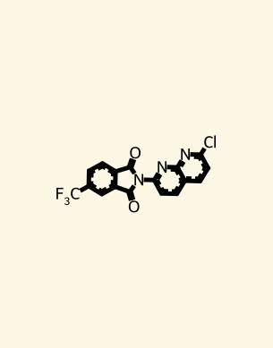 O=C1c2ccc(C(F)(F)F)cc2C(=O)N1c1ccc2ccc(Cl)nc2n1